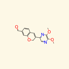 COc1ncc(C2=Cc3ccc(C=O)cc3OC2)nc1OC